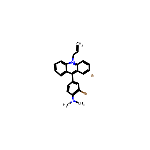 C=CC[n+]1c2ccccc2c(-c2ccc(N(C)C)c(Br)c2)c2ccccc21.[Br-]